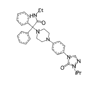 CCNC(=O)C(c1ccccc1)(c1ccccc1)N1CCN(c2ccc(-n3cnn(C(C)C)c3=O)cc2)CC1